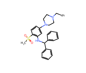 CC(C)CN1CCN(c2ccc(S(C)(=O)=O)c(NC(c3ccccc3)c3ccccc3)c2)CC1